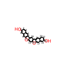 Oc1ccc2cc3c(cc2c1)oc1cc2oc4cc5cc(O)ccc5cc4c2cc13